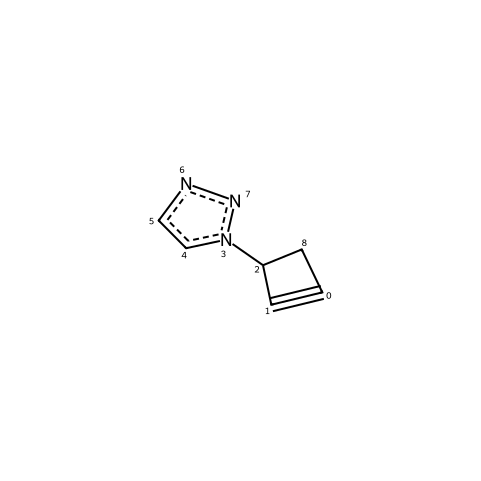 C1#CC(n2ccnn2)C1